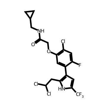 O=C(COc1cc(-c2cc(C(F)(F)F)[nH]c2CC(Cl)Cl)c(F)cc1Cl)NCC1CC1